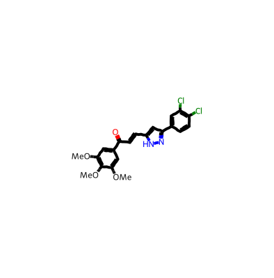 COc1cc(C(=O)/C=C/c2cc(-c3ccc(Cl)c(Cl)c3)n[nH]2)cc(OC)c1OC